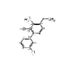 CCc1ccc(-c2cccc(Cl)c2)[n+]([O-])c1C